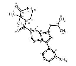 Cc1cccc(-c2cn(CC(C)C)c3nc(C(=O)N4CCNC(=O)C4(C)C)ccc23)c1